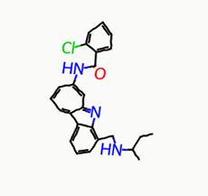 CCC(C)NCc1cccc2c3cccc(NC(=O)c4ccccc4Cl)cc-3nc12